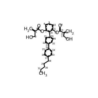 C=C(CO)C(=O)Oc1cccc(OC(=O)C(=C)CO)c1-c1ccc(-c2ccc(CCCCC)cc2)cc1